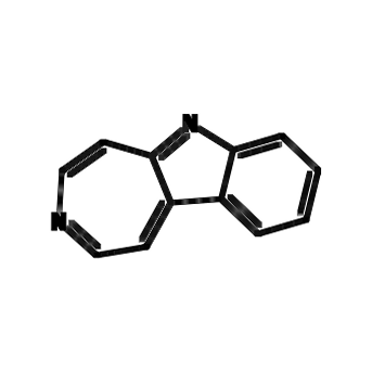 c1ccc2c3ccnccc-3nc2c1